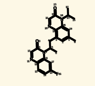 Cc1cc(CC(C)n2c(=O)cnc3ccc(F)cc32)c2ncc(=O)n(C(C)C)c2c1